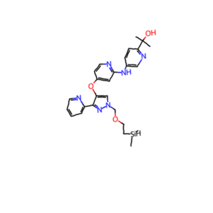 C[SiH](C)CCOCn1cc(Oc2ccnc(Nc3ccc(C(C)(C)O)nc3)c2)c(-c2ccccn2)n1